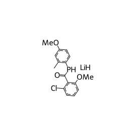 COc1ccc(PC(=O)c2c(Cl)cccc2OC)c(C)c1.[LiH]